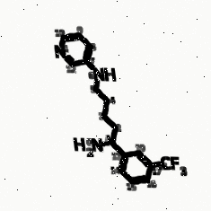 N[C@@H](CCCCNc1cccnc1)c1cccc(C(F)(F)F)c1